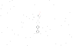 CCc1ccc(-c2ccc(C3CCC(CCC4=CCC(OC)C(F)=C4F)CC3)c(F)c2F)cc1